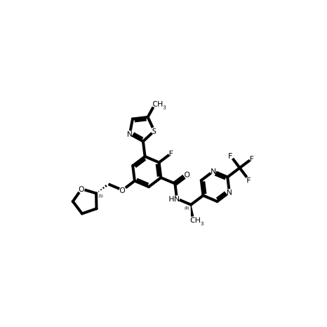 Cc1cnc(-c2cc(OC[C@@H]3CCCO3)cc(C(=O)N[C@H](C)c3cnc(C(F)(F)F)nc3)c2F)s1